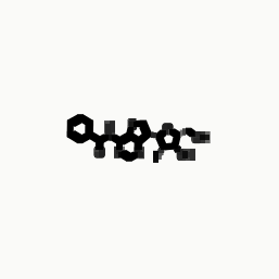 O=C(Nc1ncnc2c([C@@H]3O[C@H](CO)[C@@H](O)[C@@H]3F)csc12)c1ccccc1